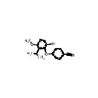 COc1ccc(Br)c(Oc2ccc(C#N)cc2)c1C(C)C